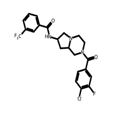 O=C(NC1CC2CN(C(=O)c3ccc(Cl)c(F)c3)CCN2C1)c1cccc(C(F)(F)F)c1